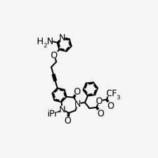 CC(C)N1C(=O)CN(C(CC(=O)OC(=O)C(F)(F)F)c2ccccc2)C(=O)c2cc(C#CCCOc3cccnc3N)ccc21